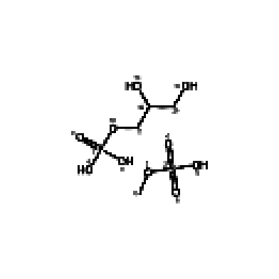 COS(=O)(=O)O.O=P(O)(O)OCC(O)CO